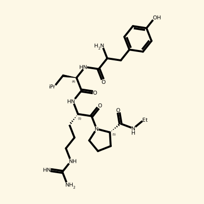 CCNC(=O)[C@@H]1CCCN1C(=O)[C@H](CCCNC(=N)N)NC(=O)[C@@H](CC(C)C)NC(=O)C(N)Cc1ccc(O)cc1